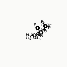 CC(C)(C)OC(=O)N1C[C@@H]2CC[C@H](OC(=O)c3cc(C(F)(F)F)cc(C(F)(F)F)c3)[C@@H](c3ccc(F)cc3)[C@@H]2C1